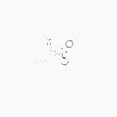 CCC(C)C(C)(COC(N)=O)COC(N)=O.COc1cnc(NS(=O)(=O)c2ccc(N)cc2)nc1